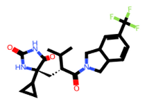 CC(C)[C@@H](C[C@@]1(C2CC2)NC(=O)NC1=O)C(=O)N1CC2C=CC(C(F)(F)F)=CC2C1